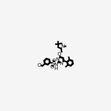 Cc1cccc(C)c1-c1cc(OCC2CC(C)(C)CN2C)nc(NS(=O)(=O)c2cccc(C=O)c2)n1